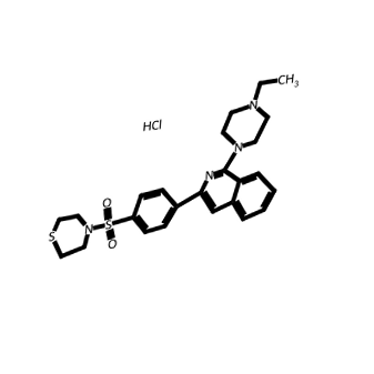 CCN1CCN(c2nc(-c3ccc(S(=O)(=O)N4CCSCC4)cc3)cc3ccccc23)CC1.Cl